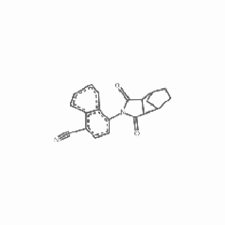 N#Cc1ccc(N2C(=O)C3C4CCC(C4)C3C2=O)c2ccccc12